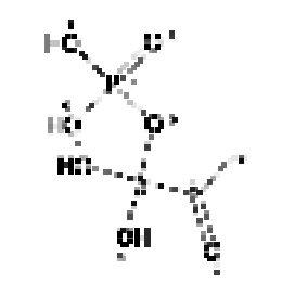 CC(=O)C(O)(O)OP(=O)(O)O